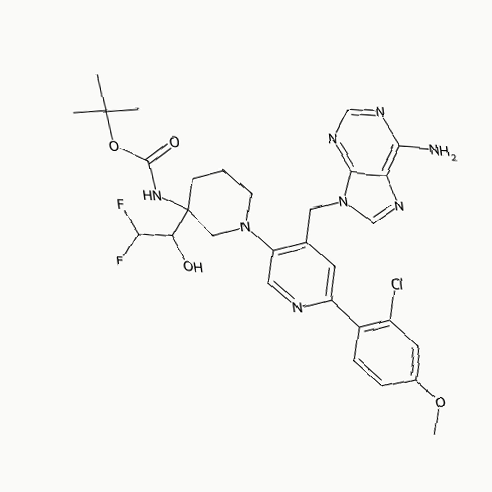 COc1ccc(-c2cc(Cn3cnc4c(N)ncnc43)c(N3CCCC(NC(=O)OC(C)(C)C)(C(O)C(F)F)C3)cn2)c(Cl)c1